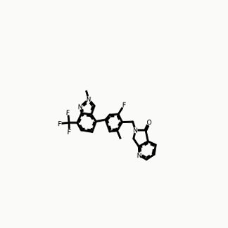 Cc1cc(-c2ccc(C(F)(F)F)c3nn(C)cc23)cc(F)c1CN1Cc2ncccc2C1=O